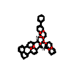 c1ccc(-c2ccc(-c3nc(-c4ccccc4)nc(-c4ccc(-c5cccc6cccc(-c7ccc(-c8nc(-c9ccccc9)nc(-c9ccccc9)n8)cc7)c56)cc4)n3)cc2)cc1